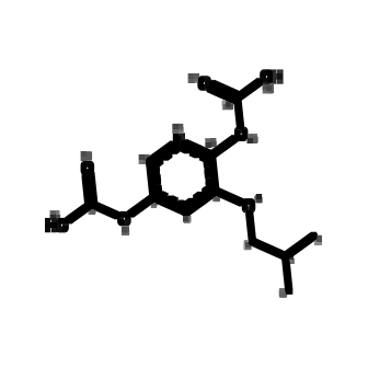 CC(C)COc1cc(OC(=O)O)cnc1OC(=O)O